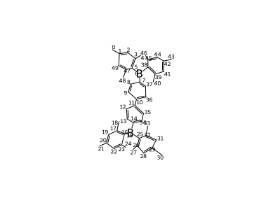 Cc1cc(C)c(B(c2ccc(-c3ccc(B(c4c(C)cc(C)cc4C)c4c(C)cc(C)cc4C)cc3)cc2)c2c(C)cc(C)cc2C)c(C)c1